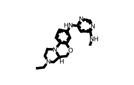 CCN1CCN2c3ccc(Nc4cc(NC)ncn4)cc3OC[C@H]2C1